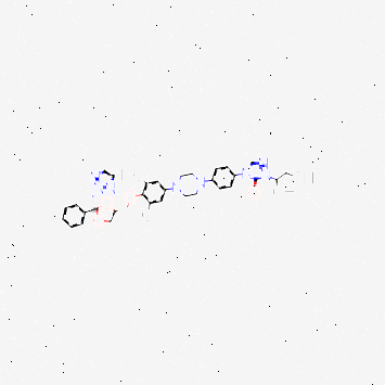 CCC(C)n1ncn(-c2ccc(N3CCN(c4cc(C)c(OC[C@@H]5CO[C@@](Cn6nccn6)(c6ccccc6)O5)c(C)c4)CC3)cc2)c1=O